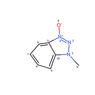 Cn1n[n+]([O-])c2ccccc21